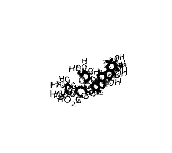 CC1(C)CC2C3=CCC4[C@@]5(C)CC[C@H](O[C@@H]6OC(C(=O)O)[C@@H](O)C(O[C@@H]7O[C@@H](CO)C(O)C7O)CC6O[C@@H]6OC(CO)[C@H](O)C(O)C6O)C(C)(C)C5CC[C@@]4(C)[C@]3(C)[C@@H](O)[C@@H](O)[C@@]2(CO)[C@@H](O)[C@@H]1O